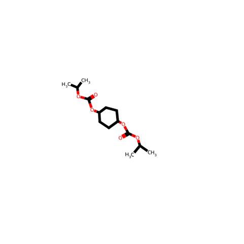 CC(C)OC(=O)OC1CCC(OC(=O)OC(C)C)CC1